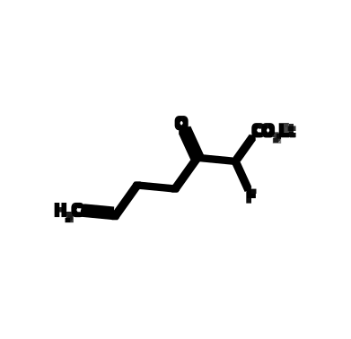 C=CCCC(=O)C(F)C(=O)OCC